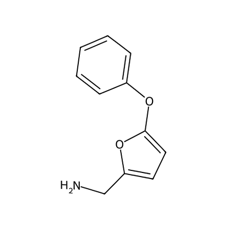 NCc1ccc(Oc2ccccc2)o1